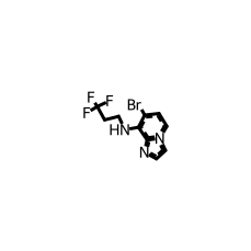 FC(F)(F)CCNc1c(Br)ccn2ccnc12